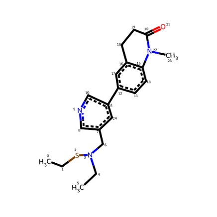 CCSN(CC)Cc1cncc(-c2ccc3c(c2)CCC(=O)N3C)c1